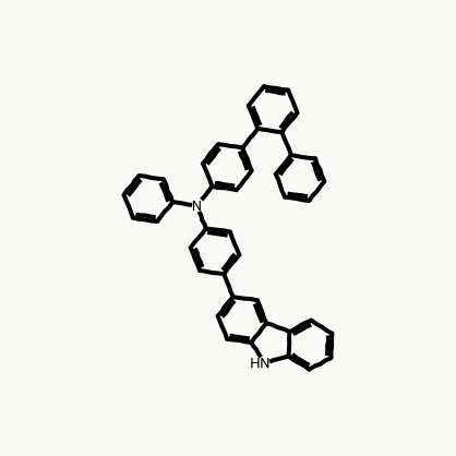 c1ccc(-c2ccccc2-c2ccc(N(c3ccccc3)c3ccc(-c4ccc5[nH]c6ccccc6c5c4)cc3)cc2)cc1